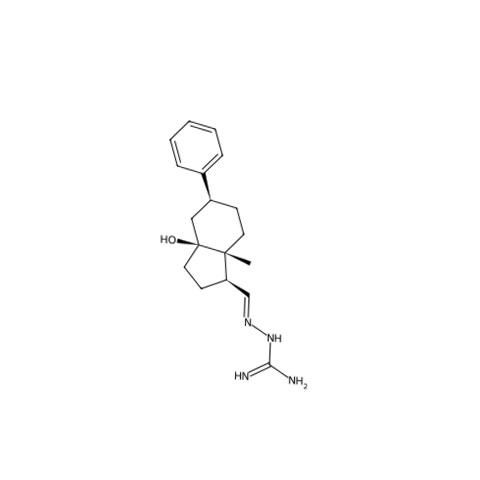 C[C@]12CC[C@H](c3ccccc3)C[C@@]1(O)CC[C@@H]2/C=N/NC(=N)N